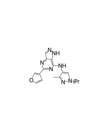 Cc1nn(C(C)C)cc1Nc1nc(-c2ccoc2)nc2cn[nH]c12